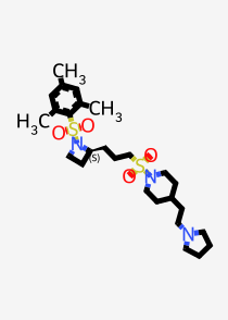 Cc1cc(C)c(S(=O)(=O)N2CC[C@@H]2CCCS(=O)(=O)N2CCC(CCN3CCCC3)CC2)c(C)c1